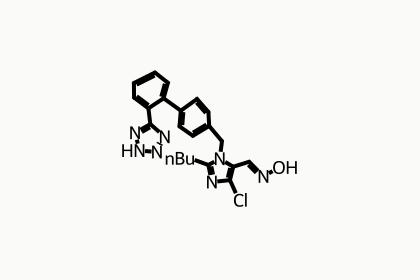 CCCCc1nc(Cl)c(C=NO)n1Cc1ccc(-c2ccccc2-c2nn[nH]n2)cc1